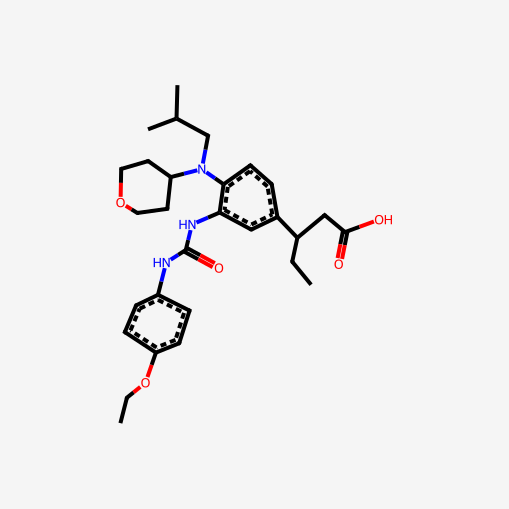 CCOc1ccc(NC(=O)Nc2cc(C(CC)CC(=O)O)ccc2N(CC(C)C)C2CCOCC2)cc1